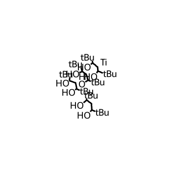 CC(C)(C)C(O)CC(O)C(C)(C)C.CC(C)(C)C(O)CC(O)C(C)(C)C.CC(C)(C)C(O)CC(O)C(C)(C)C.CC(C)(C)C(O)CC(O)C(C)(C)C.[Ti]